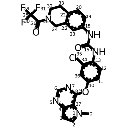 Cn1ccc2ncnc(Oc3ccc(NC(=O)Nc4ccc5c(c4)CN(C(=O)C(F)(F)F)CC5)c(Cl)c3)c21